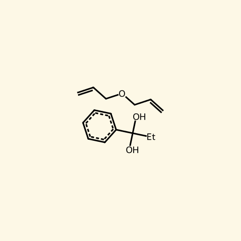 C=CCOCC=C.CCC(O)(O)c1ccccc1